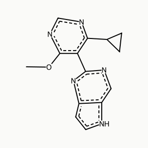 COc1ncnc(C2CC2)c1-c1ncc2[nH]ccc2n1